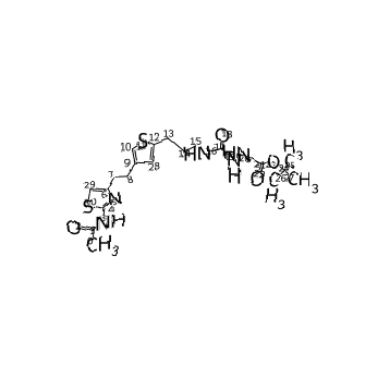 CC(=O)Nc1nc(CCc2csc(CCCNC(=O)NNC(=O)OC(C)(C)C)c2)cs1